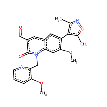 COc1cc2c(cc1-c1c(C)noc1C)cc(C=O)c(=O)n2Cc1ncccc1OC